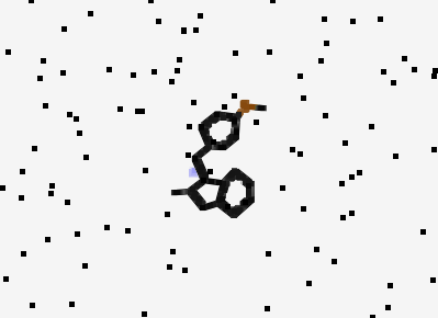 CSc1ccc(/C=C2/C(C)=Cc3ccccc32)cc1